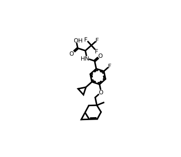 CC1(COc2cc(F)c(C(=O)NC(C(=O)O)C(F)(F)F)cc2C2CC2)CC=C2CC2C1